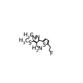 CSc1c(CN)c(-c2ccc(CCF)s2)nn1C